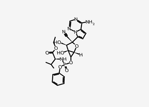 CCOC(=O)[C@@H](NP(=O)(Oc1ccccc1)OC1[C@H]2O[C@@](C#N)(c3ccc4c(N)ncnn34)[C@H](O)[C@@]12O)C(C)C